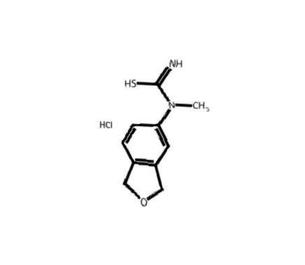 CN(C(=N)S)c1ccc2c(c1)COC2.Cl